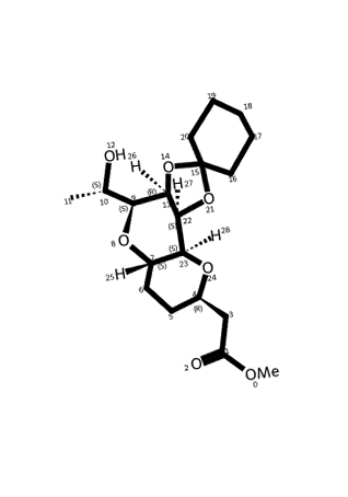 COC(=O)C[C@H]1CC[C@@H]2O[C@@H]([C@H](C)O)[C@H]3OC4(CCCCC4)O[C@H]3[C@H]2O1